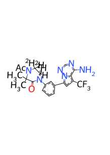 [2H]C1([2H])N(c2cccc(-c3cc(C(F)(F)F)c4c(N)ncnn34)c2)C(=O)C(C)(C)N(C(C)=O)C1([2H])[2H]